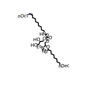 CCCCCCCC/C=C\CCCCCCCCNOP(=O)(OCC(O)CO)OCC(OC(=O)CCCCCCCCCCCCCCCCC)N(CC)CC